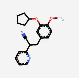 COc1ccc(CC(C#N)c2ccccn2)cc1OC1CCCC1